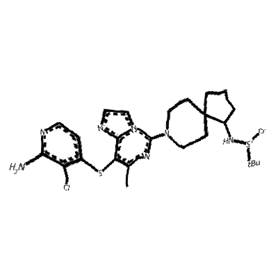 Cc1nc(N2CCC3(CCCC3N[S+]([O-])C(C)(C)C)CC2)n2ccnc2c1Sc1ccnc(N)c1Cl